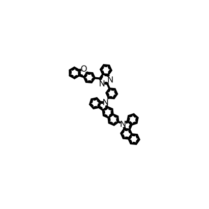 c1cc(-c2nc(-c3ccc4c(c3)oc3ccccc34)c3ccccc3n2)cc(-n2c3ccccc3c3cc4ccc(-n5c6ccccc6c6c7ccccc7ccc65)cc4cc32)c1